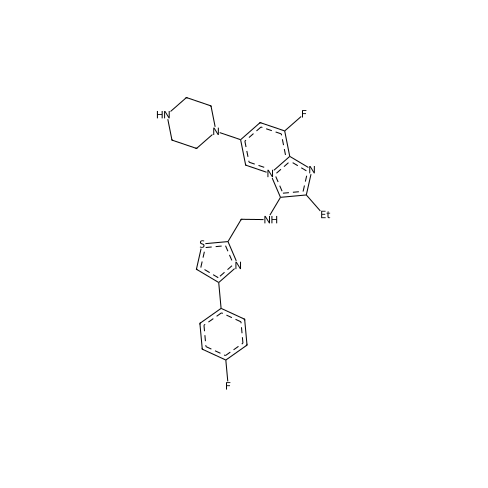 CCc1nc2c(F)cc(N3CCNCC3)cn2c1NCc1nc(-c2ccc(F)cc2)cs1